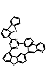 c1ccc(-c2nc(-c3cccc4c3oc3ccccc34)nc(-c3cccc4sc5ccc(-c6ccc7cccnc7c6)cc5c34)n2)cc1